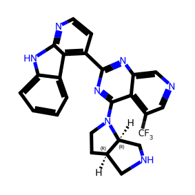 FC(F)(F)c1cncc2nc(-c3ccnc4[nH]c5ccccc5c34)nc(N3CC[C@@H]4CNC[C@@H]43)c12